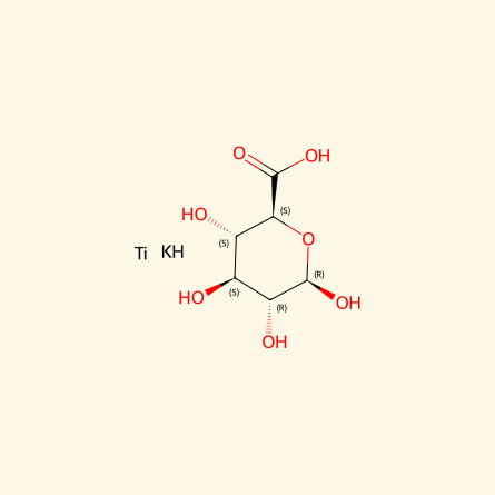 O=C(O)[C@H]1O[C@@H](O)[C@H](O)[C@@H](O)[C@@H]1O.[KH].[Ti]